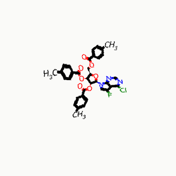 Cc1ccc(C(=O)OC[C@H]2O[C@@H](n3cc(F)c4c(Cl)ncnc43)[C@H](OC(=O)c3ccc(C)cc3)[C@@H]2OC(=O)c2ccc(C)cc2)cc1